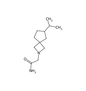 CC(C)C1CCC2(C1)CN(CC(N)=O)C2